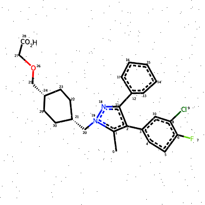 Cc1c(-c2ccc(F)c(Cl)c2)c(-c2ccccc2)nn1C[C@H]1CC[C@@H](COCC(=O)O)CC1